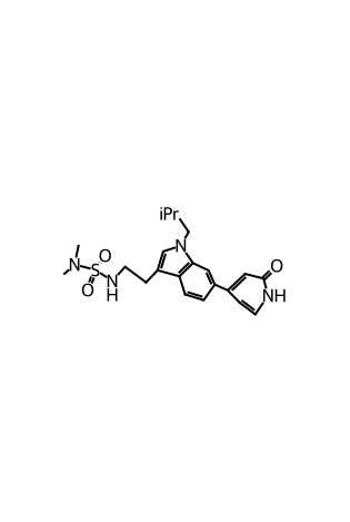 CC(C)Cn1cc(CCNS(=O)(=O)N(C)C)c2ccc(-c3cc[nH]c(=O)c3)cc21